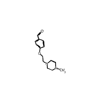 CN1CCN(CCOc2ccc(C=O)cc2)CC1